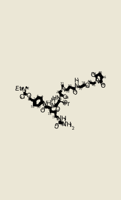 CCN(C)C(=O)OCc1ccc(NC(=O)C(CCCNC(N)=O)NC(=O)[C@@H](NC(=O)CN(C)CCC(=O)NCCOCCN2C(=O)C=CC2=O)C(C)C)cc1